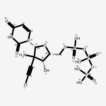 NC1(C#CCl)[C@@H](O)[C@@H](COP(=O)(O)OP(=O)(O)OP(=O)(O)O)O[C@H]1n1ccc(=O)[nH]c1=O